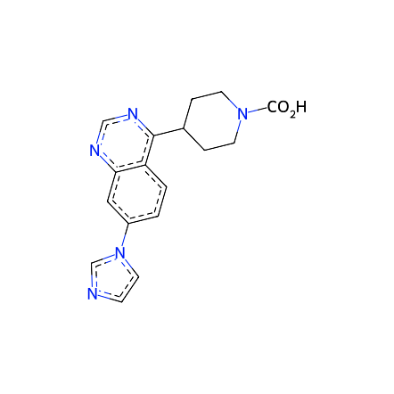 O=C(O)N1CCC(c2ncnc3cc(-n4ccnc4)ccc23)CC1